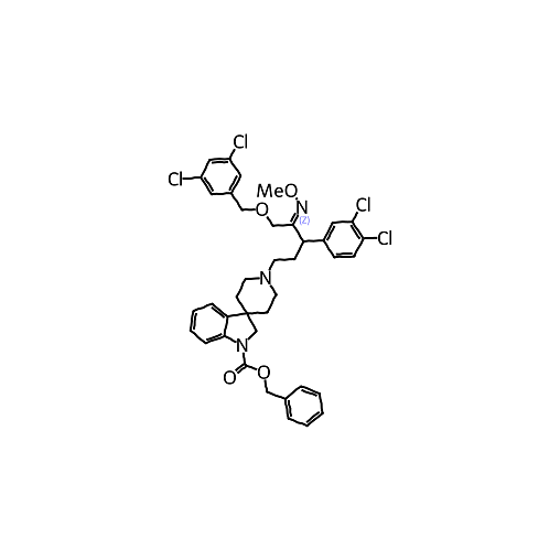 CO/N=C(\COCc1cc(Cl)cc(Cl)c1)C(CCN1CCC2(CC1)CN(C(=O)OCc1ccccc1)c1ccccc12)c1ccc(Cl)c(Cl)c1